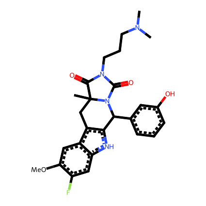 COc1cc2c3c([nH]c2cc1F)C(c1cccc(O)c1)N1C(=O)N(CCCN(C)C)C(=O)C1(C)C3